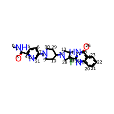 CNC(=O)c1ccc(N2CCC(N3CCC(F)(c4nc5ccccc5c(=O)[nH]4)C3)CC2)cn1